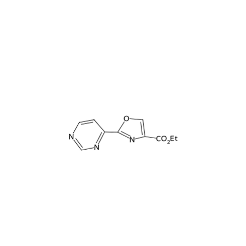 CCOC(=O)c1coc(-c2ccncn2)n1